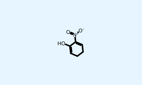 O=[N+]([O-])C1=CCCC=C1O